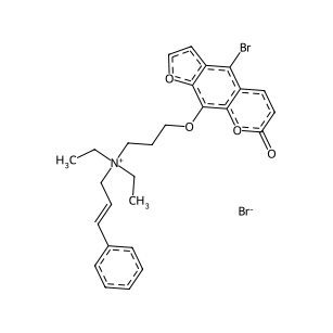 CC[N+](CC)(CC=Cc1ccccc1)CCCOc1c2occc2c(Br)c2ccc(=O)oc12.[Br-]